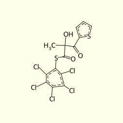 CC(O)(C(=O)Sc1c(Cl)c(Cl)c(Cl)c(Cl)c1Cl)C(=O)c1cccs1